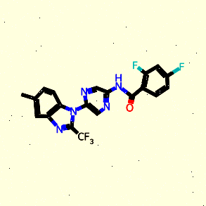 Cc1ccc2c(c1)nc(C(F)(F)F)n2-c1cnc(NC(=O)c2ccc(F)cc2F)cn1